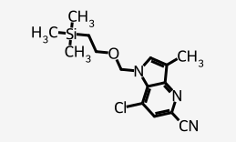 Cc1cn(COCC[Si](C)(C)C)c2c(Cl)cc(C#N)nc12